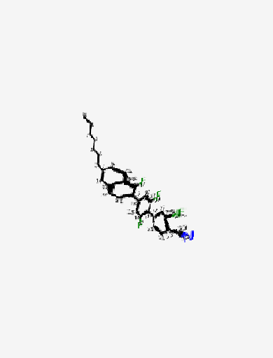 CCCCCCCc1ccc2c(F)c(-c3cc(F)c(-c4ccc(C#N)c(F)c4)c(F)c3)ccc2c1